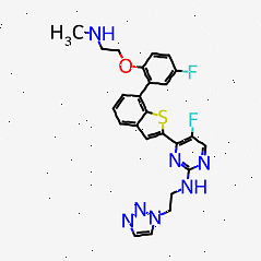 CNCCOc1ccc(F)cc1-c1cccc2cc(-c3nc(NCCn4ccnn4)ncc3F)sc12